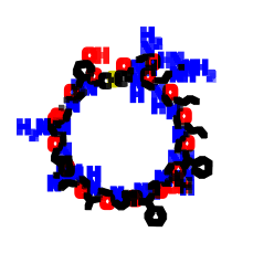 C=C(C[C@@H]1NC(=O)[C@@H]2CCCN2C(=O)[C@H](CC(C)C)NC(=O)[C@H](Cc2cnc[nH]2)NC(=O)[C@@H]2CCCN2C(=O)[C@H](CC(N)=O)NC(=O)[C@H](C)N(C)C(=O)[C@H](Cc2ccc(O)cc2)NC(=O)CSC[C@@H](C(=O)NCC(N)=O)NC(=O)[C@H](CCCNC(=N)N)NC(=O)[C@H](CCCC)N(C)C(=O)[C@H](CCCC)N(C)C(=O)[C@H](Cc2c[nH]c3ccccc23)NC(=O)[C@H](CO)NC1=O)c1ccccc1